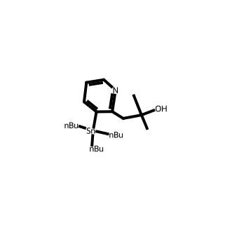 CCC[CH2][Sn]([CH2]CCC)([CH2]CCC)[c]1cccnc1CC(C)(C)O